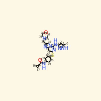 Cc1cc(Nc2nc(Sc3ccc(NC(=O)C4CC4)cc3)cc3nc(CN4CCOCC4)cn23)n[nH]1